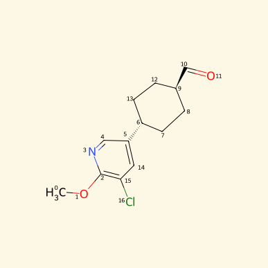 COc1ncc([C@H]2CC[C@H](C=O)CC2)cc1Cl